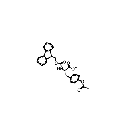 COC(=O)[C@H](Cc1ccc(OC(C)=O)cc1)NC(=O)OCC1c2ccccc2-c2ccccc21